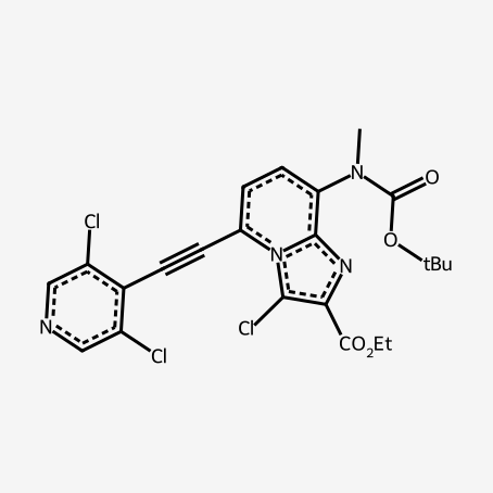 CCOC(=O)c1nc2c(N(C)C(=O)OC(C)(C)C)ccc(C#Cc3c(Cl)cncc3Cl)n2c1Cl